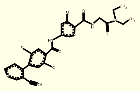 C#Cc1cnccc1-c1cc(Cl)c(C(=O)Nc2cnc(C(=O)NCC(=O)N(CC)CC)c(Cl)c2)cc1F